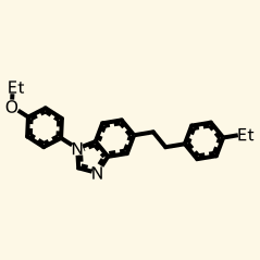 CCOc1ccc(-n2cnc3cc(CCc4ccc(CC)cc4)ccc32)cc1